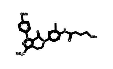 CCOC(=O)c1nn(-c2ccc(OC)cc2)c2c1CCN(c1ccc(NC(=O)CCCNC)c(C)c1)C2=O